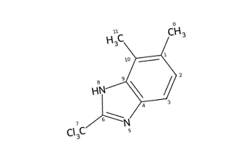 Cc1ccc2nc(C(Cl)(Cl)Cl)[nH]c2c1C